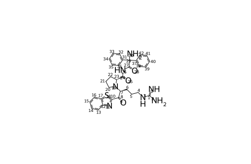 N=C(N)NCCC[C@@H](C(=O)c1nc2ccccc2s1)N1CCC[C@H]1C(=O)NC(=O)C(N)(c1ccccc1)c1ccccc1